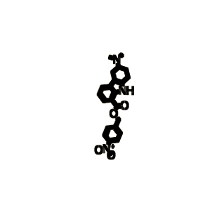 CN(C)C1CCc2[nH]c3c(C(=O)OCc4ccc([N+](=O)[O-])cc4)cccc3c2C1